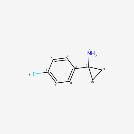 NC1(c2ccc(F)cc2)CC1